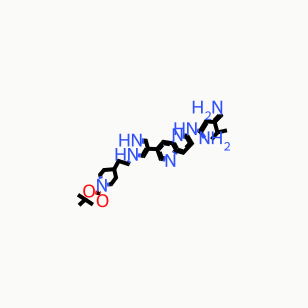 CC(C)C(=C/N)/C=C(\N)Nc1ccc2ncc(/C(C=N)=C/NCCC3CCN(C(=O)OC(C)(C)C)CC3)cc2n1